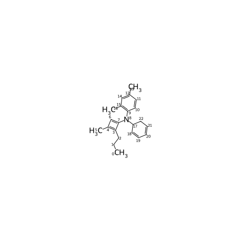 CCCC1=C(C)C=C1N(c1ccc(C)cc1C)C1C=CC=CC1